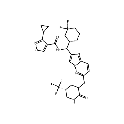 O=C(N[C@H](c1cn2nc(CC3C[C@@H](C(F)(F)F)CNC3=O)ccc2n1)[C@H]1CCCC(F)(F)C1)c1conc1C1CC1